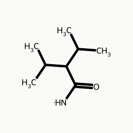 CC(C)C(C([NH])=O)C(C)C